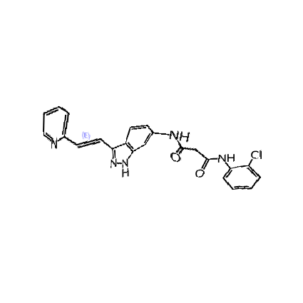 O=C(CC(=O)Nc1ccccc1Cl)Nc1ccc2c(/C=C/c3ccccn3)n[nH]c2c1